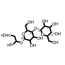 CCCCCCCCCCCC(CCC)O[C@@H]1OC(CO)[C@@H](O[C@H]2OC(CO)[C@@H](O)C(O)C2O)C(O)C1O